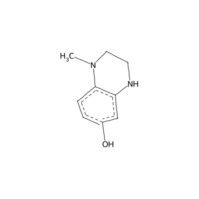 CN1CCNc2cc(O)ccc21